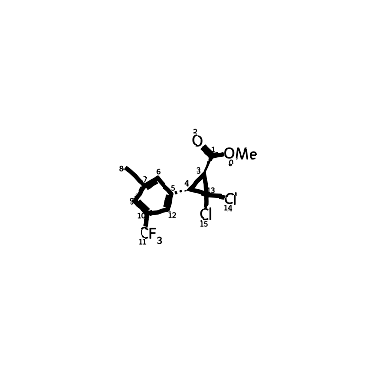 COC(=O)[C@@H]1[C@@H](c2cc(C)cc(C(F)(F)F)c2)C1(Cl)Cl